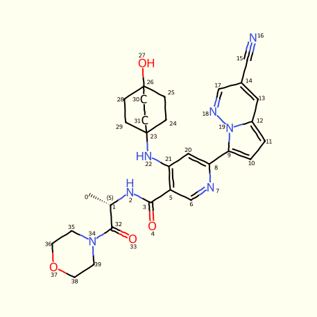 C[C@H](NC(=O)c1cnc(-c2ccc3cc(C#N)cnn23)cc1NC12CCC(O)(CC1)CC2)C(=O)N1CCOCC1